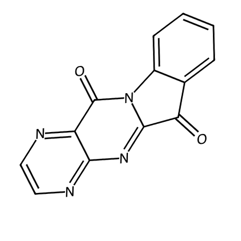 O=C1c2ccccc2-n2c1nc1nccnc1c2=O